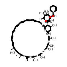 C[C@@H]1[C@H](O)[C@@H](C)/C=C/C=C/C=C/C=C/C=C/C=C/C=C/[C@H](O[C@@H]2O[C@H](C)[C@@H](O)[C@H](N)[C@@H]2O)C[C@@H]2O[C@](O)(C[C@@H](O)C[C@@H](O)[C@H](O)CC[C@@H](O)C[C@@H](O)CC(=O)O[C@H]1C)C[C@H](O)[C@H]2C(=O)NCCN1CCCCC1